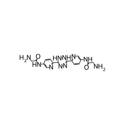 NCC(=O)Nc1ccc(C2=NN=C(c3ccc(NC(=O)CN)cn3)NN2)nc1